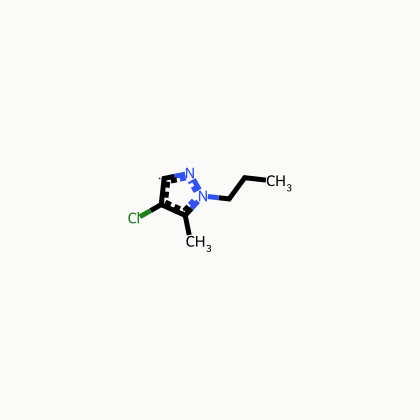 CCCn1n[c]c(Cl)c1C